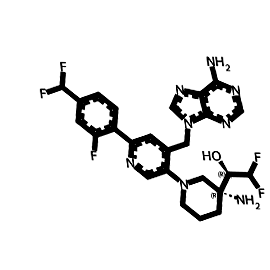 Nc1ncnc2c1ncn2Cc1cc(-c2ccc(C(F)F)cc2F)ncc1N1CCC[C@](N)([C@@H](O)C(F)F)C1